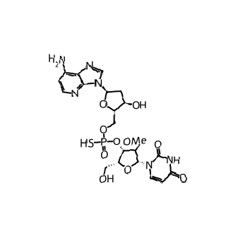 COC1[C@@H](OP(=O)(S)OC[C@H]2O[C@@H](n3cnc4c(N)ccnc43)C[C@H]2O)[C@@H](CO)O[C@H]1n1ccc(=O)[nH]c1=O